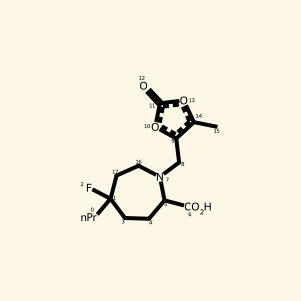 CCCC1(F)CCC(C(=O)O)N(Cc2oc(=O)oc2C)CC1